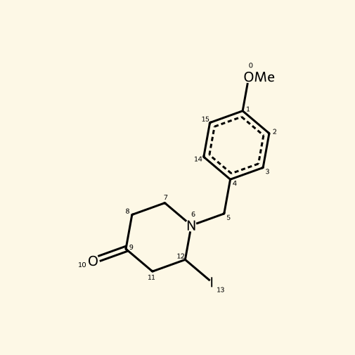 COc1ccc(CN2CCC(=O)CC2I)cc1